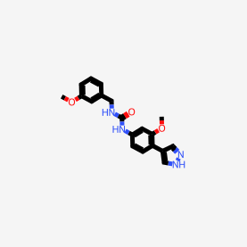 COc1cccc(CNC(=O)Nc2ccc(-c3cn[nH]c3)c(OC)c2)c1